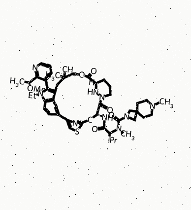 CCn1c(-c2cccnc2[C@H](C)OC)c2c3cc(ccc31)-c1csc(n1)C[C@H](NC(=O)C(C(C)C)N(C)C(=O)N1CC3(CCN(C)CC3)C1)C(=O)N1CCC[C@H](N1)C(=O)OCC(C)(C)C2